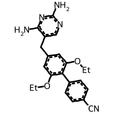 CCOc1cc(Cc2cnc(N)nc2N)cc(OCC)c1-c1ccc(C#N)cc1